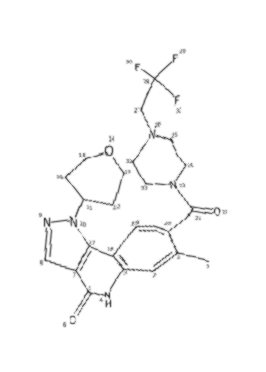 Cc1cc2[nH]c(=O)c3cnn(C4CCOCC4)c3c2cc1C(=O)N1CCN(CC(F)(F)F)CC1